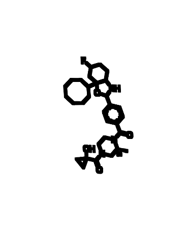 C[C@H]1CN(C(=O)C2(O)CC2)CCN1C(=O)c1ccc(C2NC3CCC(F)CC3(C3CCCCCCC3)O2)cc1